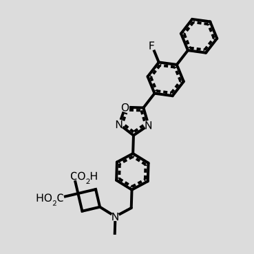 CN(Cc1ccc(-c2noc(-c3ccc(-c4ccccc4)c(F)c3)n2)cc1)C1CC(C(=O)O)(C(=O)O)C1